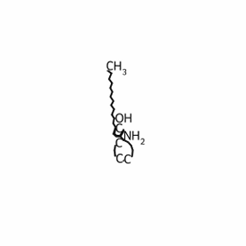 CCCCCCCCCCCCC(O)Cc1ccc(C2(N)CCCCCCCCCCC2)cc1